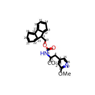 COc1cc(CC(NC(=O)OCC2c3ccccc3-c3ccccc32)C(=O)O)ccn1